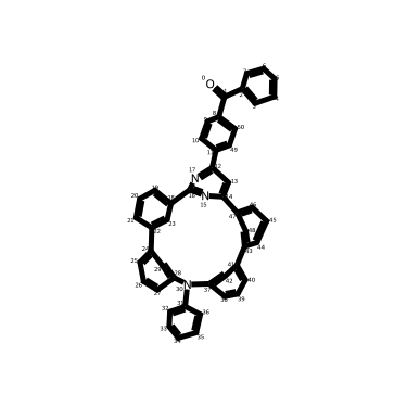 O=C(c1ccccc1)c1ccc(-c2cc3nc(n2)-c2cccc(c2)-c2cccc(c2)N(c2ccccc2)c2cccc(c2)-c2cccc-3c2)cc1